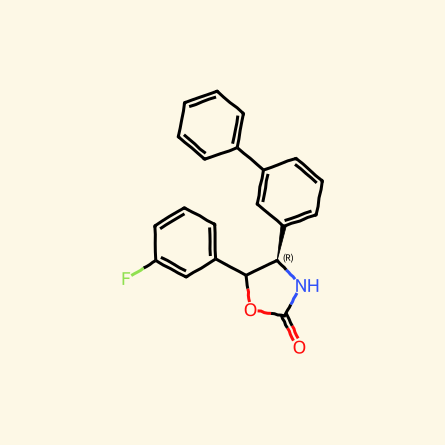 O=C1N[C@H](c2cccc(-c3ccccc3)c2)C(c2cccc(F)c2)O1